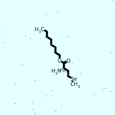 CCCCCCCCOC(=O)[C@@H](N)CC[Se]C